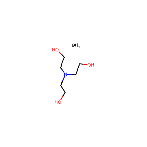 B.OCCN(CCO)CCO